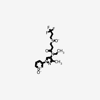 CCN(C(=O)CC[S+]([O-])CCC(F)(F)F)c1cn(-c2ccc[n+]([O-])c2)nc1C